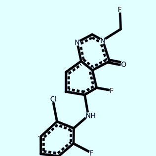 O=c1c2c(F)c(Nc3c(Cl)[c]ccc3F)ccc2ncn1CF